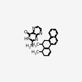 CC1CC=CC2=C1C(C)Cc1c2ccc2ccccc12.Nc1nc2nccnc2c(=O)[nH]1